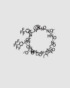 CCO[C@@H]1C[C@H]2C(=O)NC3(CCC3)C(=O)N(C)[C@@H](C(CC)CC)C(=O)N(C)[C@H](C(=O)N(C)C)CC(=O)N(C)[C@@H](C)C(=O)N[C@@H]([C@@H](C)CC)C(=O)N(C)CC(=O)N(C)[C@H]3C/C=C\CCN(C3=O)[C@@H](Cc3ccc(C(F)(F)F)cc3)C(=O)N(C)CC(=O)N[C@@H](CCc3cc(F)c(C(F)(F)F)c(F)c3)C(=O)N2C1